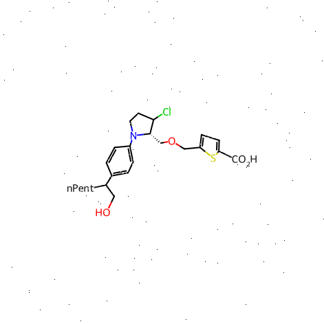 CCCCCC(CO)c1ccc(N2CCC(Cl)[C@@H]2COCc2ccc(C(=O)O)s2)cc1